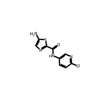 Nc1cnc(C(=O)Nc2ccc(Cl)nc2)s1